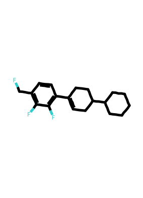 FCc1ccc(C2=CCC(C3CCCCC3)CC2)c(F)c1F